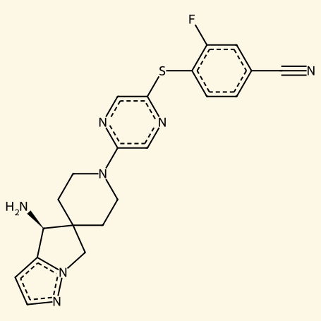 N#Cc1ccc(Sc2cnc(N3CCC4(CC3)Cn3nccc3[C@H]4N)cn2)c(F)c1